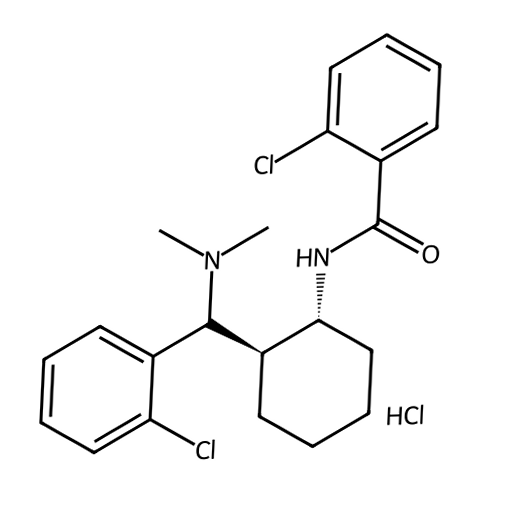 CN(C)C(c1ccccc1Cl)[C@@H]1CCCC[C@H]1NC(=O)c1ccccc1Cl.Cl